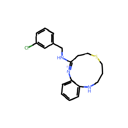 Clc1cccc(CN/C2=N/c3ccccc3NCCCSCC2)c1